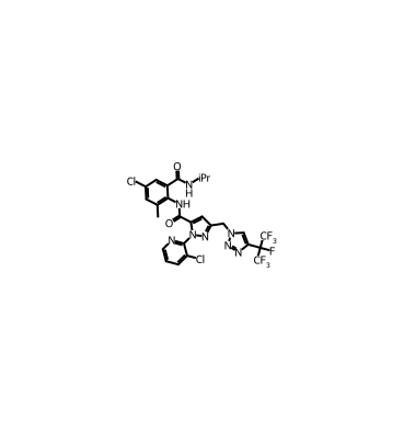 Cc1cc(Cl)cc(C(=O)NC(C)C)c1NC(=O)c1cc(Cn2cc(C(F)(C(F)(F)F)C(F)(F)F)nn2)nn1-c1ncccc1Cl